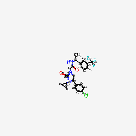 CC(NC(=O)Cn1cc(-c2ccc(Cl)cc2)n(C2CC2)c1=O)c1cccc(C(F)(F)F)c1